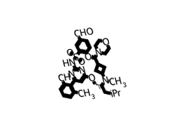 Cc1cccc(C)c1-c1cc(OC[C@@H](CC(C)C)N(C)C2CC(C(=O)N3CCOCC3)C2)nc(NS(=O)(=O)c2cccc(C=O)c2)n1